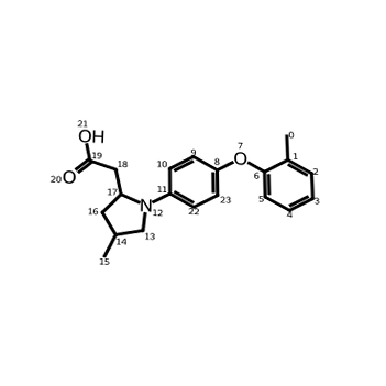 Cc1ccccc1Oc1ccc(N2CC(C)CC2CC(=O)O)cc1